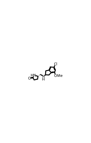 COc1cc(Cl)cc2c1CC(NC[C@@H]1CCC(=O)N1)C2